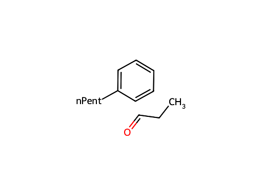 CCC=O.CCCCCc1ccccc1